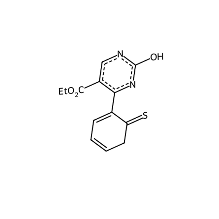 CCOC(=O)c1cnc(O)nc1C1=CC=CCC1=S